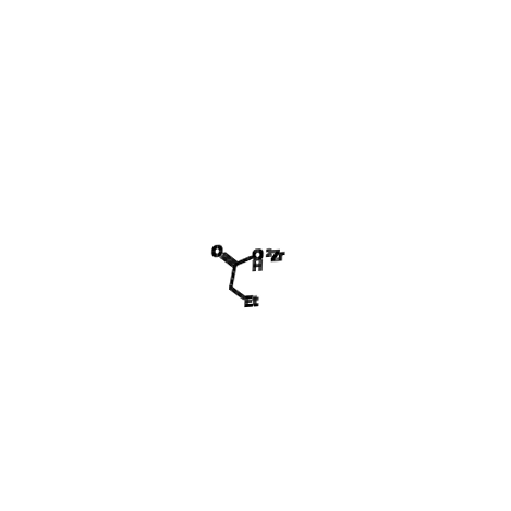 CCCC(=O)O.[2Zr]